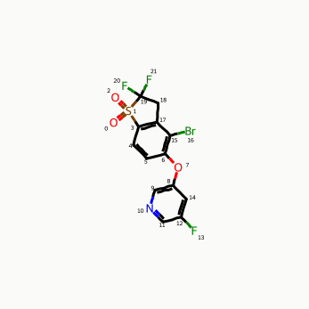 O=S1(=O)c2ccc(Oc3cncc(F)c3)c(Br)c2CC1(F)F